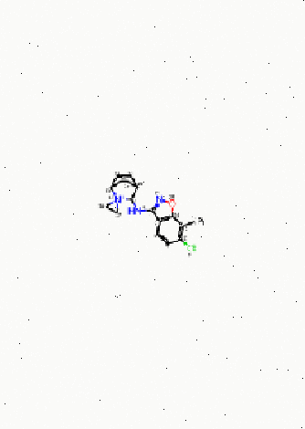 CC(C)c1c(Cl)ccc2c(NC3C4CCC(CC4)[N+]34CC4)noc12